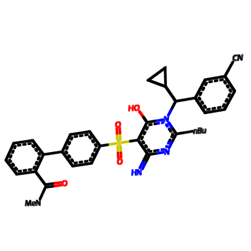 CCCCc1nc(=N)c(S(=O)(=O)c2ccc(-c3ccccc3C(=O)NC)cc2)c(O)n1C(c1cccc(C#N)c1)C1CC1